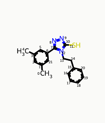 Cc1cc(C)cc(-c2nnc(S)n2CCc2ccccc2)c1